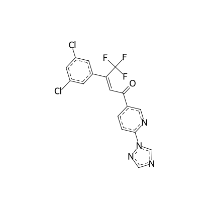 O=C(C=C(c1cc(Cl)cc(Cl)c1)C(F)(F)F)c1ccc(-n2cncn2)nc1